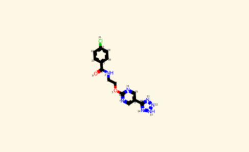 O=C(NCCOc1ncc(-c2nn[nH]n2)cn1)c1ccc(Cl)cc1